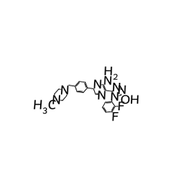 CN1CCN(Cc2ccc(-c3cnc(-c4nnc(O)n4-c4cccc(F)c4F)c(N)n3)cc2)CC1